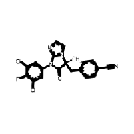 C[C@@]1(Cc2ccc(C#N)cc2)C(=O)N(c2cc(Cl)c(F)c(Cl)c2)c2nccn21